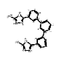 CC(C)c1nnc(-c2cccc(-c3cccc(-c4cccc(-c5nnc(C(C)C)o5)c4)c3)c2)o1